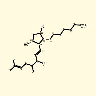 CC(C)=CCC(C)[C@H](O)/C=C/[C@@H]1[C@@H](CCCCCCC(=O)O)[C@H](Br)C[C@H]1O